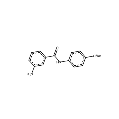 COc1ccc(NC(=O)c2cccc(N)c2)cc1